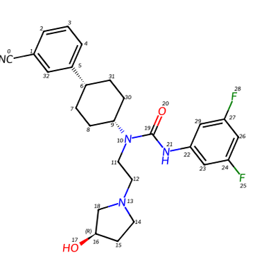 N#Cc1cccc([C@H]2CC[C@@H](N(CCN3CC[C@@H](O)C3)C(=O)Nc3cc(F)cc(F)c3)CC2)c1